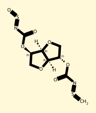 C=S=NC(=O)O[C@H]1CO[C@H]2[C@@H]1OC[C@H]2OC(=O)N=S=O